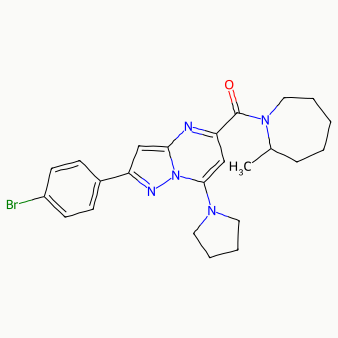 CC1CCCCCN1C(=O)c1cc(N2CCCC2)n2nc(-c3ccc(Br)cc3)cc2n1